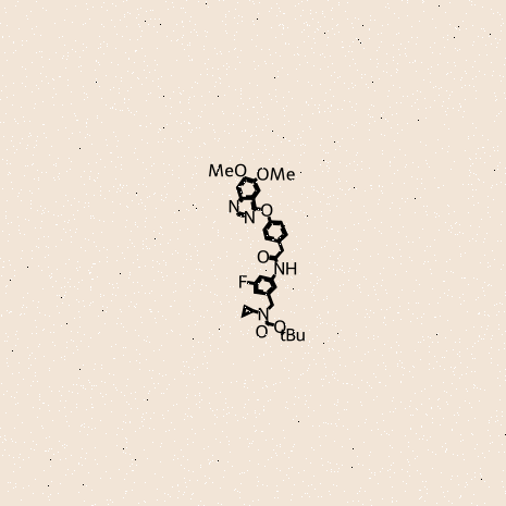 COc1cc2ncnc(Oc3ccc(CC(=O)Nc4cc(F)cc(CN(C(=O)OC(C)(C)C)C5CC5)c4)cc3)c2cc1OC